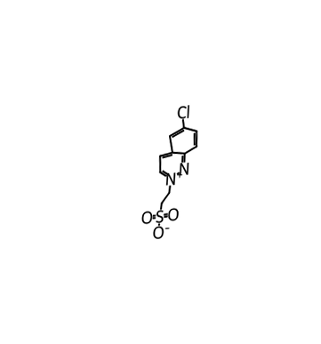 O=S(=O)([O-])CC[n+]1ccc2cc(Cl)ccc2n1